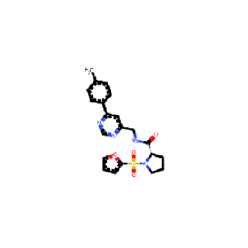 O=C(NCc1cc(-c2ccc(C(F)(F)F)cc2)ncn1)[C@@H]1CCCN1S(=O)(=O)c1ccco1